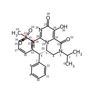 CC(C)N1C[C@H](C(c2ccccc2)c2ccccc2)n2c(NS(C)(=O)=O)nc(=O)c(O)c2C1=O